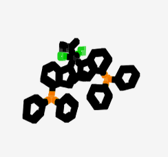 CC1=Cc2c(cccc2P(c2ccccc2)c2ccccc2)[CH]1[Zr]([Cl])([Cl])([CH]1C(C)=Cc2c1cccc2P(c1ccccc1)c1ccccc1)[SiH](C)C